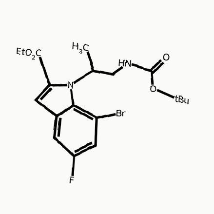 CCOC(=O)c1cc2cc(F)cc(Br)c2n1C(C)CNC(=O)OC(C)(C)C